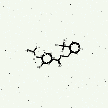 O=C(NCc1cnccc1C(F)(F)F)c1cnc(OC(F)F)c(F)c1